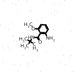 COc1cccc(N)c1C(=O)NC(C)(C)C